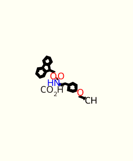 C#CCOc1ccc(C[C@H](NC(=O)OCC2c3ccccc3-c3ccccc32)C(=O)O)cc1